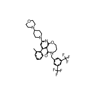 Cc1ccccc1-c1cc(N2CCC(N3CCOCC3)CC2)nc2c1C(=O)N(Cc1cc(C(F)(F)F)cc(C(F)(F)F)c1)CCCO2